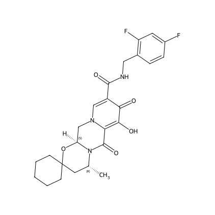 C[C@@H]1CC2(CCCCC2)O[C@H]2Cn3cc(C(=O)NCc4ccc(F)cc4F)c(=O)c(O)c3C(=O)N12